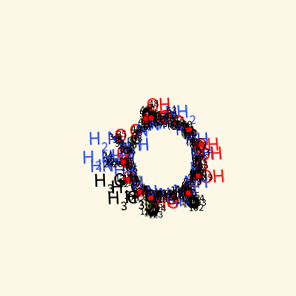 CCCC[C@H]1C(=O)N(C)[C@@H](CCCC)C(=O)N[C@@H](CCCNC(=N)N)C(=O)NC(C(=O)NCC(N)=O)CSCC(=O)N[C@@H](Cc2ccc(O)cc2)C(=O)N(C)[C@@H](C)C(=O)N[C@@H](CC(N)=O)C(=O)N2CCC[C@H]2C(=O)N[C@@H](CO)C(=O)N[C@@H](CO)C(=O)N2C[C@H](O)C[C@H]2C(=O)N[C@@H](Cc2c[nH]c3ccccc23)C(=O)N[C@@H](CO)C(=O)N[C@@H](Cc2csc3ccccc23)C(=O)N1C